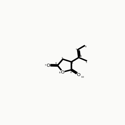 CC=C(C)C1CC(=O)OC1=O